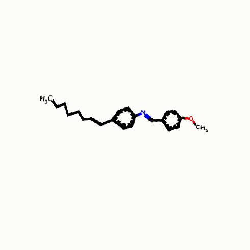 CCCCCCCCc1ccc(N=Cc2ccc(OC)cc2)cc1